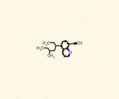 C#Cc1ccc(C(CC)CC(C)CC)c2cccnc12